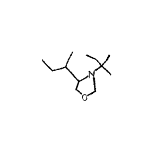 CCC(C)C1COCN1C(C)(C)C